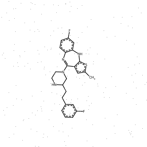 Cc1cc2c(s1)Nc1cc(F)ccc1N=C2N1CCNC(CCc2cccc(F)c2)C1